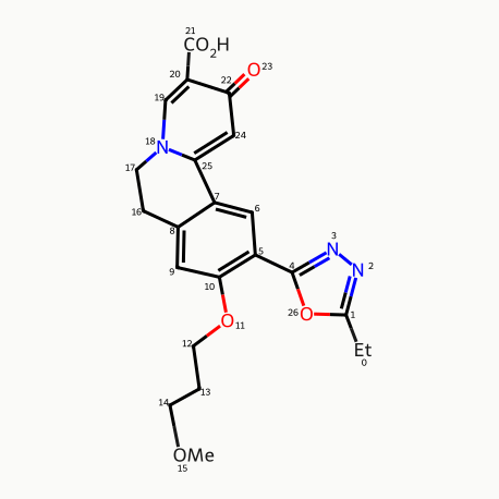 CCc1nnc(-c2cc3c(cc2OCCCOC)CCn2cc(C(=O)O)c(=O)cc2-3)o1